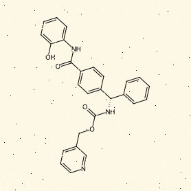 O=C(N[C@@H](c1ccccc1)c1ccc(C(=O)Nc2ccccc2O)cc1)OCc1cccnc1